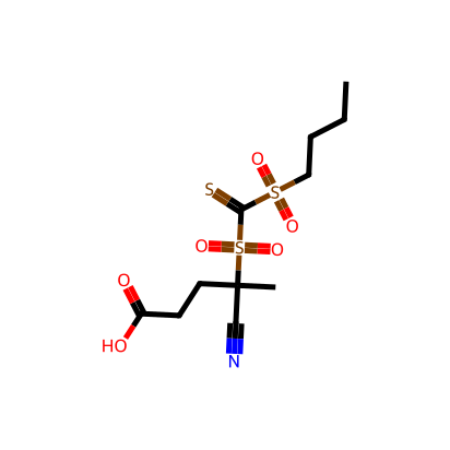 CCCCS(=O)(=O)C(=S)S(=O)(=O)C(C)(C#N)CCC(=O)O